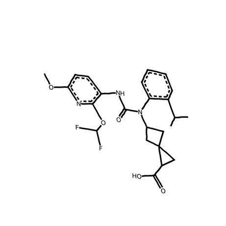 COc1ccc(NC(=O)N(c2ccccc2C(C)C)C2CC3(C2)CC3C(=O)O)c(OC(F)F)n1